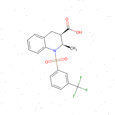 C[C@@H]1[C@H](C(=O)O)Cc2ccccc2N1S(=O)(=O)c1cccc(C(F)(F)F)c1